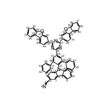 N#Cc1ccc2c(c1)c1ccccc1n2-c1c(-c2ccccc2)cc(-c2nc(-c3ccc4c(c3)oc3ccccc34)nc(-c3ccc4c(c3)oc3ccccc34)n2)cc1-c1ccccc1